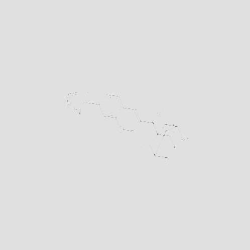 O=C(C1=Cc2ccc(-c3nccs3)cc2OC1)C12CC3CC(CC(C3)C1)C2